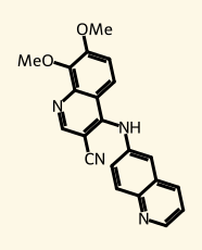 COc1ccc2c(Nc3ccc4ncccc4c3)c(C#N)cnc2c1OC